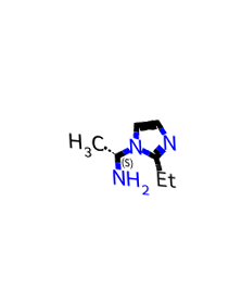 CCc1nccn1[C@@H](C)N